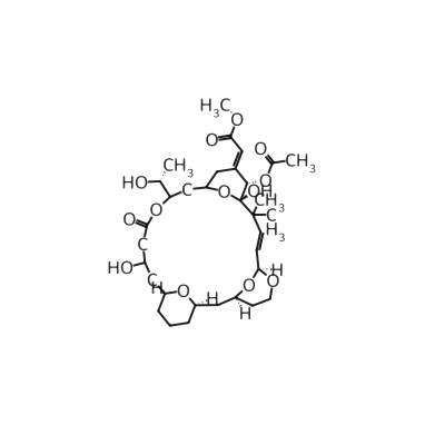 COC(=O)/C=C1\CC2CC([C@@H](C)O)OC(=O)CC(O)C[C@@H]3CCC[C@H](C[C@@H]4CCO[C@H](/C=C/C(C)(C)[C@](O)(O2)[C@H]1OC(C)=O)O4)O3